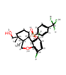 C[C@@]1(CO)CCC[C@@]2(S(=O)(=O)c3ccc(C(F)(F)F)cc3)c3c(F)ccc(F)c3OC[C@@H]12